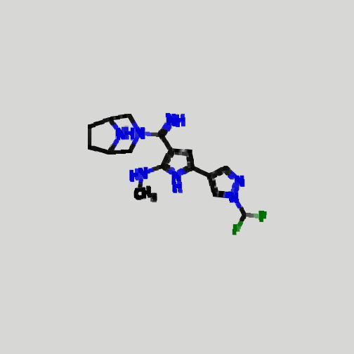 CNc1[nH]c(-c2cnn(C(F)F)c2)cc1C(=N)N1CC2CCC(C1)N2